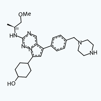 COC[C@H](C)Nc1ncc2c(-c3ccc(CN4CCNCC4)cc3)cc(C3CCC(O)CC3)n2n1